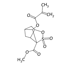 C=C(C)C(=O)OC1C2CC3OS(=O)(=O)C1(C(=O)OC)C3C2